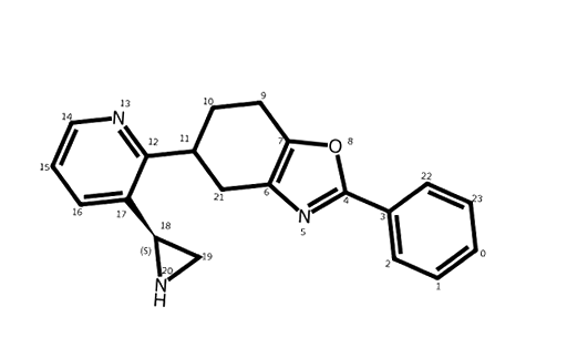 c1ccc(-c2nc3c(o2)CCC(c2ncccc2[C@H]2CN2)C3)cc1